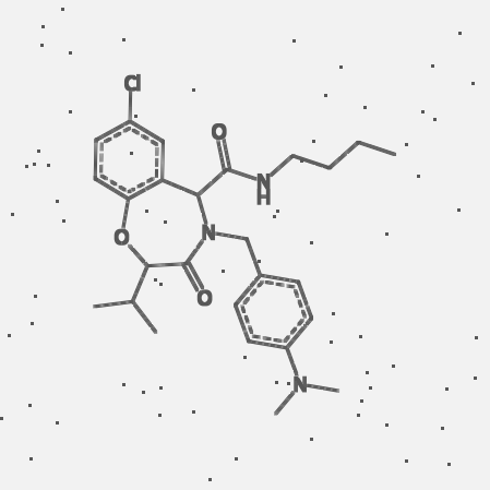 CCCCNC(=O)C1c2cc(Cl)ccc2OC(C(C)C)C(=O)N1Cc1ccc(N(C)C)cc1